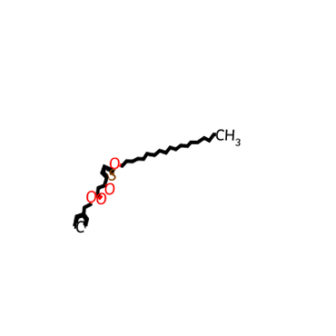 CCCCCCCCCCCCCCCCCCCOc1ccc(C(=O)CC(=O)OCCc2ccccc2)s1